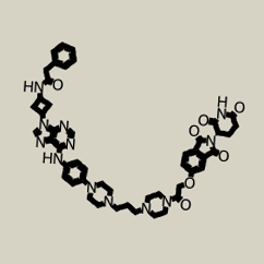 O=C1CC[C@H](N2C(=O)c3ccc(OCC(=O)N4CCN(CCCN5CCN(c6ccc(Nc7ncnc8c7ncn8C7CC(NC(=O)Cc8ccccc8)C7)cc6)CC5)CC4)cc3C2=O)C(=O)N1